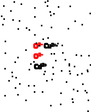 [Cd+2].[Cu+2].[O-2].[O-2]